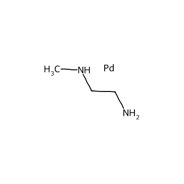 CNCCN.[Pd]